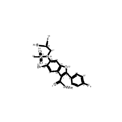 CNC(=O)c1c(-c2ccc(F)cc2)oc2cc(N(CC(F)F)S(C)(=O)=O)c(Br)cc12